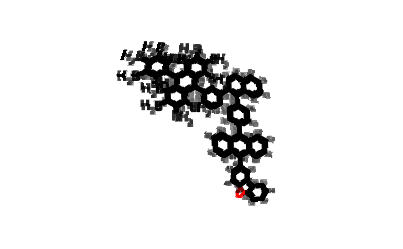 Bc1c(B)c(B)c(-c2c3c(B)c(B)c(B)c(B)c3c(-c3cccc(-c4ccc5ccccc5c4-c4ccc(-c5c6ccccc6c(-c6ccc7oc8ccccc8c7c6)c6ccccc56)cc4)c3)c3c(B)c(B)c(B)c(B)c23)c(B)c1B